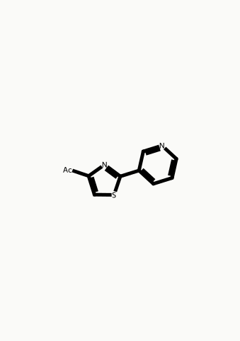 CC(=O)c1csc(-c2cccnc2)n1